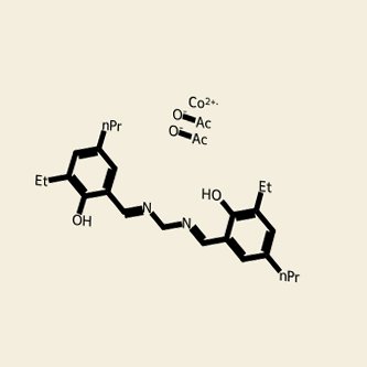 CC(=O)[O-].CC(=O)[O-].CCCc1cc(C=NCN=Cc2cc(CCC)cc(CC)c2O)c(O)c(CC)c1.[Co+2]